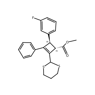 COC(=O)[C@@H]1C(C2SCCCS2)=C(c2ccccc2)[C@H]1c1cccc(F)c1